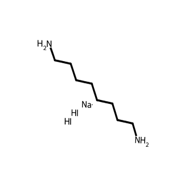 I.I.NCCCCCCCCN.[Na]